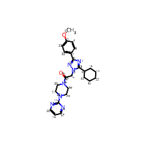 COc1ccc(-c2nc(C3CCCCC3)n(CC(=O)N3CCN(c4ncccn4)CC3)n2)cc1